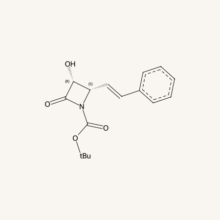 CC(C)(C)OC(=O)N1C(=O)[C@H](O)[C@@H]1C=Cc1ccccc1